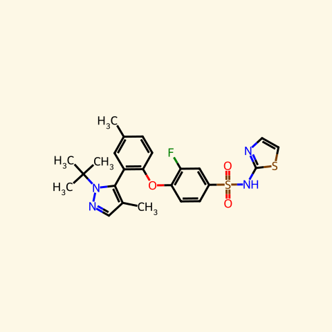 Cc1ccc(Oc2ccc(S(=O)(=O)Nc3nccs3)cc2F)c(-c2c(C)cnn2C(C)(C)C)c1